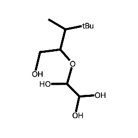 CC(C(CO)OC(O)C(O)O)C(C)(C)C